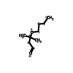 CCCCOC(C)(C)CC=O